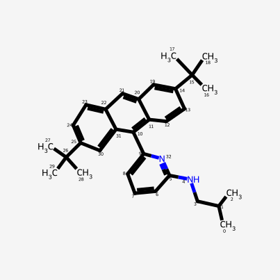 CC(C)CNc1cccc(-c2c3ccc(C(C)(C)C)cc3cc3ccc(C(C)(C)C)cc23)n1